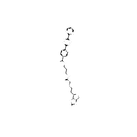 O=C(CCCCC1SCC2NC(=O)NC21)NCCCNC(=O)c1ccc(-c2nnc(-c3ncccn3)nn2)cc1